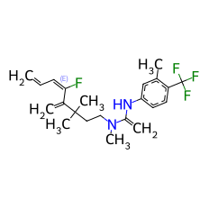 C=C/C=C(/F)C(=C)C(C)(C)CCN(C)C(=C)Nc1ccc(C(F)(F)F)c(C)c1